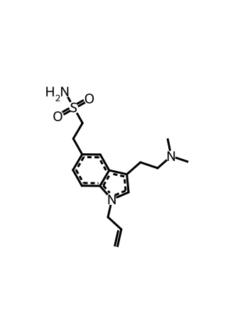 C=CCn1cc(CCN(C)C)c2cc(CCS(N)(=O)=O)ccc21